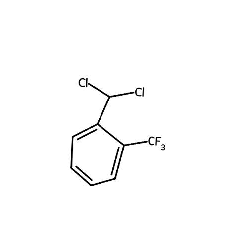 FC(F)(F)c1ccccc1C(Cl)Cl